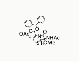 CO[C@]1(NC(C)=O)C(=O)N2C(C(=O)OC(c3ccccc3)c3ccccc3)=C(COC(C)=O)CS[C@@H]21